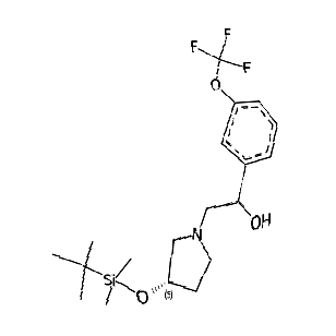 CC(C)(C)[Si](C)(C)O[C@H]1CCN(CC(O)c2cccc(OC(F)(F)F)c2)C1